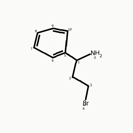 NC(CCBr)c1ccccc1